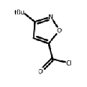 CC(C)(C)c1cc(C(=O)Cl)on1